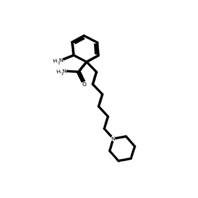 NC(=O)C1(CCCCCCN2CCCCC2)C=CC=CC1N